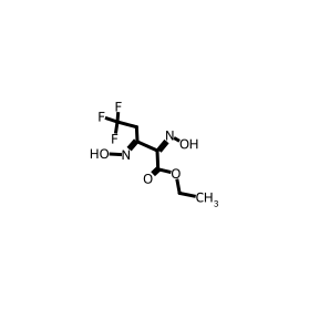 CCOC(=O)C(=N\O)/C(CC(F)(F)F)=N/O